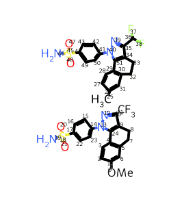 COc1ccc2c(c1)CCc1c(C(F)(F)F)nn(-c3ccc(S(N)(=O)=O)cc3)c1-2.Cc1ccc2c(c1)CCc1c(C(F)F)nn(-c3ccc(S(N)(=O)=O)cc3)c1-2